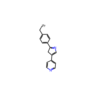 CC(C)Cc1ccc(C2=NC=C(c3ccncc3)C2)cc1